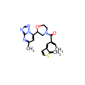 C=c1scc/c1=C/C(=C\C)C(=O)N1CCOC(c2cc(C)nc3ncnn23)C1